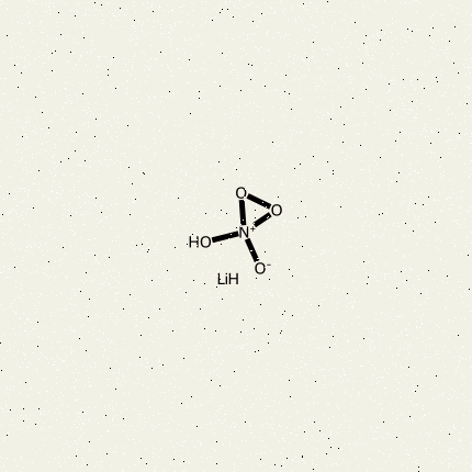 [LiH].[O-][N+]1(O)OO1